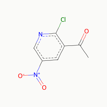 CC(=O)c1cc([N+](=O)[O-])cnc1Cl